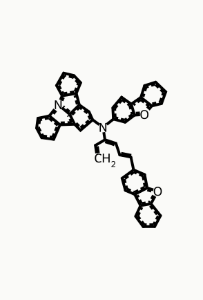 C=C/C(=C\C=C\c1ccc2c(c1)oc1ccccc12)N(c1ccc2c(c1)oc1ccccc12)c1cc2c3ccccc3n3c4ccccc4c(c1)c23